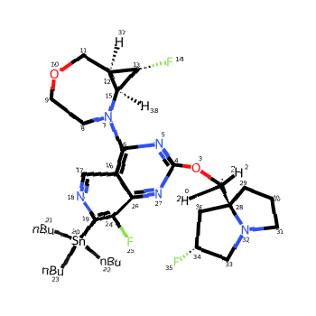 [2H]C([2H])(Oc1nc(N2CCOC[C@H]3[C@H](F)[C@H]32)c2cn[c]([Sn]([CH2]CCC)([CH2]CCC)[CH2]CCC)c(F)c2n1)[C@@]12CCCN1C[C@H](F)C2